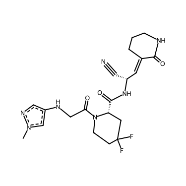 Cn1cc(NCC(=O)N2CCC(F)(F)C[C@H]2C(=O)N[C@H](C#N)/C=C2\CCCNC2=O)cn1